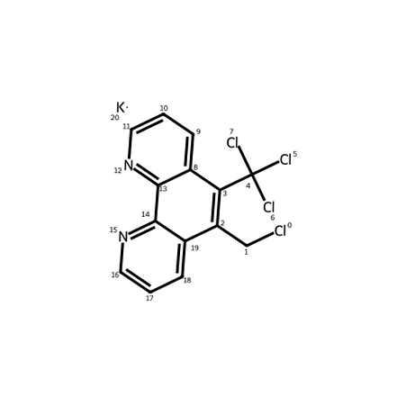 ClCc1c(C(Cl)(Cl)Cl)c2cccnc2c2ncccc12.[K]